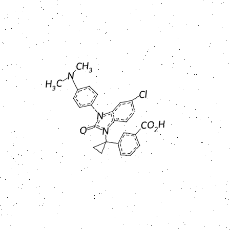 CN(C)c1ccc(-n2c(=O)n(C3(c4cccc(C(=O)O)c4)CC3)c3ccc(Cl)cc32)cc1